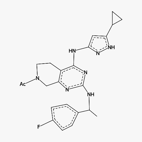 CC(=O)N1CCc2c(nc(NC(C)c3ccc(F)cc3)nc2Nc2cc(C3CC3)[nH]n2)C1